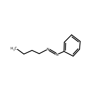 CCCC/N=N/c1ccccc1